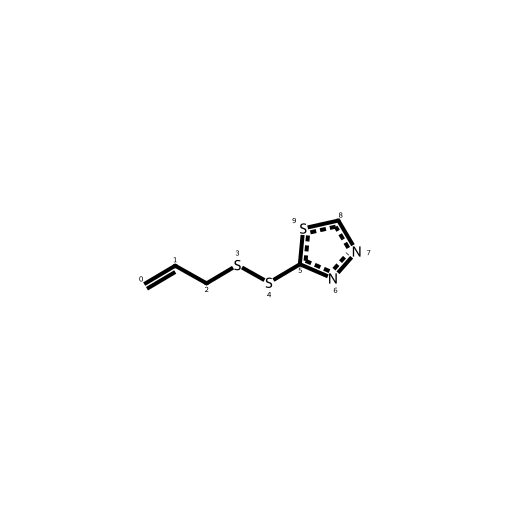 C=CCSSc1nncs1